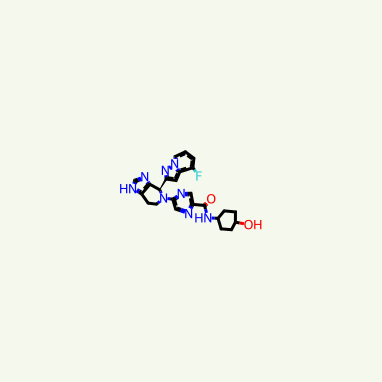 O=C(NC1CCC(O)CC1)c1cnc(N2CCc3[nH]cnc3[C@H]2c2cc3c(F)cccn3n2)cn1